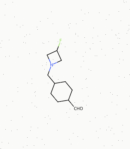 O=CC1CCC(CN2CC(F)C2)CC1